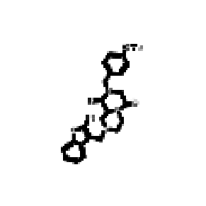 CCc1sc2ccccc2c1CN1CCN2C(=O)CN(Cc3ccc(OC)cc3)C(=O)C2C1